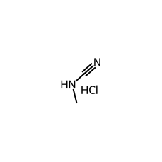 CNC#N.Cl